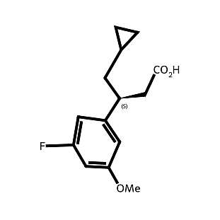 COc1cc(F)cc([C@H](CC(=O)O)CC2CC2)c1